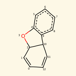 C1=CC2Oc3ccccc3C2C=C1